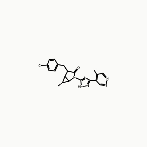 Cc1cnncc1-c1n[nH]c(N2C(=O)C(Cc3ccc(Cl)cc3)C3C2[C@H]3C)n1